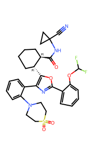 N#CC1(NC(=O)[C@@H]2CCCC[C@H]2c2oc(-c3ccccc3OC(F)F)nc2-c2ccccc2N2CCS(=O)(=O)CC2)CC1